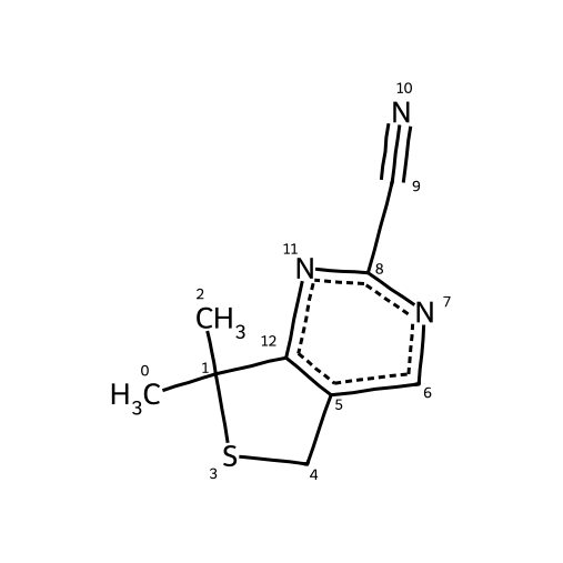 CC1(C)SCc2cnc(C#N)nc21